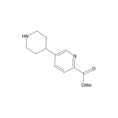 COC(=O)c1ccc(C2CCNCC2)cn1